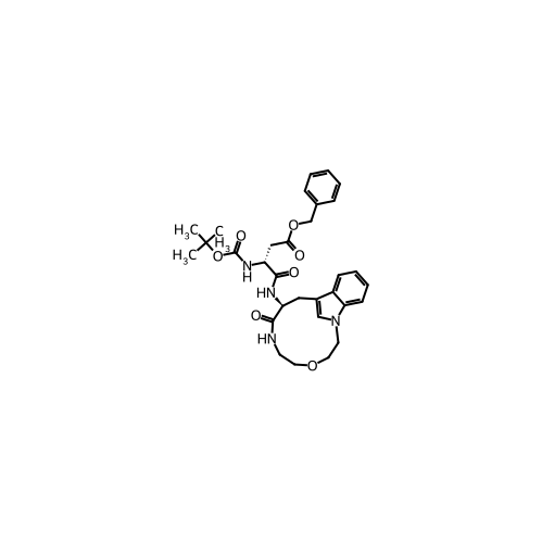 CC(C)(C)OC(=O)N[C@H](CC(=O)OCc1ccccc1)C(=O)N[C@H]1Cc2cn(c3ccccc23)CCOCCNC1=O